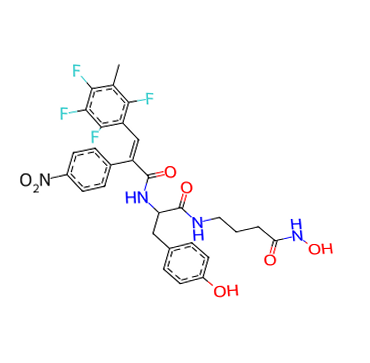 Cc1c(F)c(F)c(F)c(C=C(C(=O)NC(Cc2ccc(O)cc2)C(=O)NCCCC(=O)NO)c2ccc([N+](=O)[O-])cc2)c1F